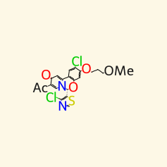 COCCCOc1cc2c(cc1Cl)-c1cc(=O)c(C(C)=O)cn1[C@@H](c1scnc1Cl)O2